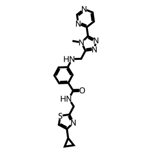 Cn1c(CNc2cccc(C(=O)NCc3nc(C4CC4)cs3)c2)nnc1-c1ccncn1